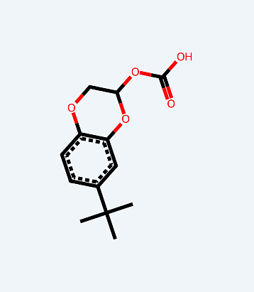 CC(C)(C)c1ccc2c(c1)OC(OC(=O)O)CO2